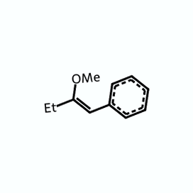 CCC(=Cc1ccccc1)OC